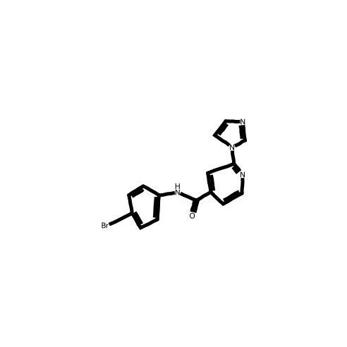 O=C(Nc1ccc(Br)cc1)c1ccnc(-n2ccnc2)c1